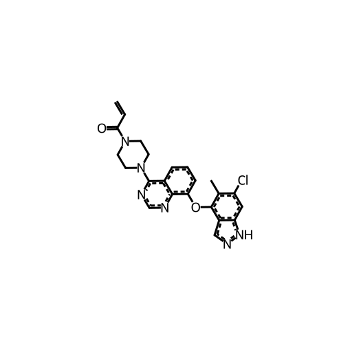 C=CC(=O)N1CCN(c2ncnc3c(Oc4c(C)c(Cl)cc5[nH]ncc45)cccc23)CC1